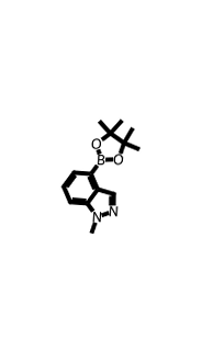 Cn1ncc2c(B3OC(C)(C)C(C)(C)O3)cccc21